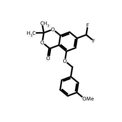 COc1cccc(COc2cc(C(F)F)cc3c2C(=O)OC(C)(C)O3)c1